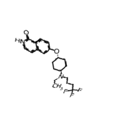 CCN(CCCC(F)(F)F)[C@H]1CC[C@H](Oc2ccc3c(=O)[nH]ccc3c2)CC1